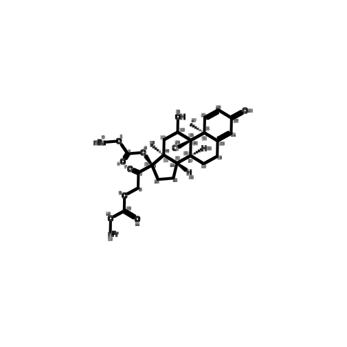 CCCCOC(=O)O[C@]1(C(=O)COC(=O)OCCC)CC[C@H]2[C@@H]3CCC4=CC(=O)C=C[C@]4(C)[C@@]3(Cl)C(O)C[C@@]21C